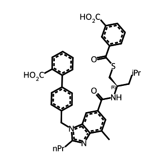 CCCc1nc2c(C)cc(C(=O)N[C@@H](CSC(=O)c3cccc(C(=O)O)c3)CC(C)C)cc2n1Cc1ccc(-c2ccccc2C(=O)O)cc1